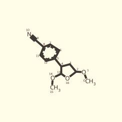 COC1CC(c2ccc(C#N)cc2)C(OC)O1